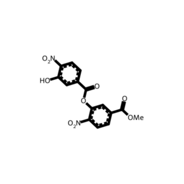 COC(=O)c1ccc([N+](=O)[O-])c(OC(=O)c2ccc([N+](=O)[O-])c(O)c2)c1